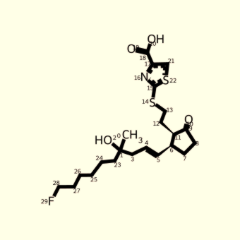 CC(O)(C/C=C/[C@@H]1CCC(=O)[C@@H]1CCSc1nc(C(=O)O)cs1)CCCCCCF